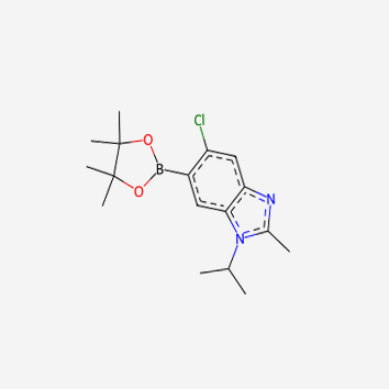 Cc1nc2cc(Cl)c(B3OC(C)(C)C(C)(C)O3)cc2n1C(C)C